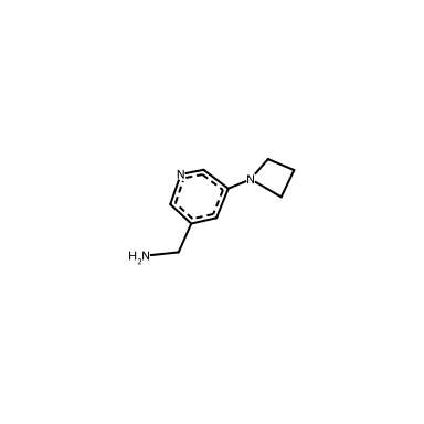 NCc1cncc(N2CCC2)c1